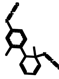 Cc1cc(N=C=O)ccc1C1C=CC=CC1(C)N=C=O